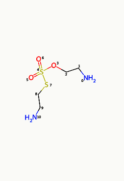 NCCOS(=O)(=O)SCCN